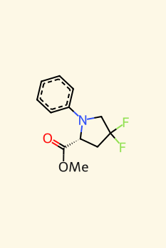 COC(=O)[C@H]1CC(F)(F)CN1c1ccccc1